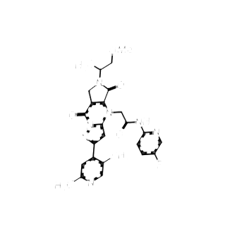 COCC(C)N1Cc2c(n(CC(=O)Nc3ccc(F)cn3)c3cc(-c4cc(C)ncc4C)nn3c2=O)C1=O